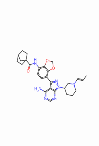 CC=CN1CCC[C@@H](n2nc(-c3ccc(NC(=O)C45CCC(CC4)C5)c4c3OCO4)c3c(N)ncnc32)C1